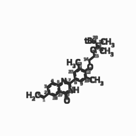 C=Cc1ccc2nc(-c3cc(C)c(OCCO[Si](C)(C)C(C)(C)C)c(C)c3)[nH]c(=O)c2c1